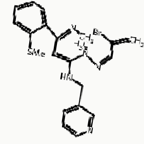 C=C(Br)/C=N\N(C)/C(=C\C(=N/C)c1ccccc1SC)NCc1cccnc1